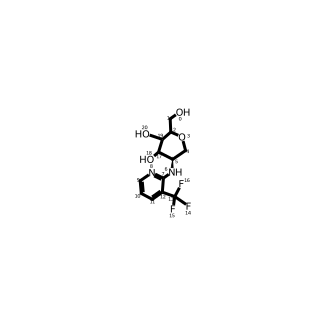 OCC1OC[C@@H](Nc2ncccc2C(F)(F)F)C(O)C1O